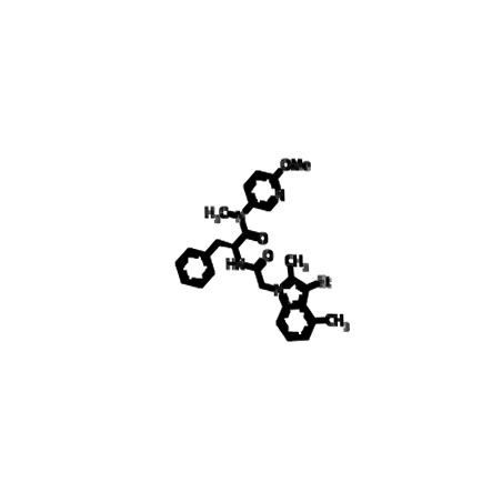 CCc1c(C)n(CC(=O)N[C@@H](Cc2ccccc2)C(=O)N(C)c2ccc(OC)nc2)c2cccc(C)c12